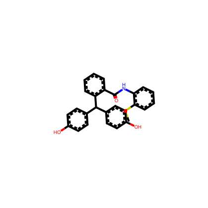 CSc1ccccc1NC(=O)c1ccccc1C(c1ccc(O)cc1)c1ccc(O)cc1